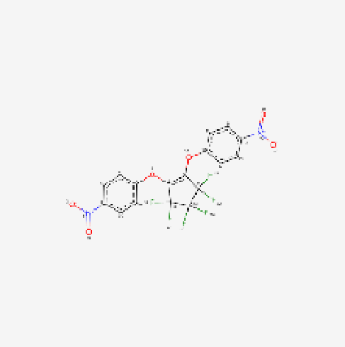 O=[N+]([O-])c1ccc(OC2=C(Oc3ccc([N+](=O)[O-])cc3)C(F)(F)C(F)(F)C2(F)F)cc1